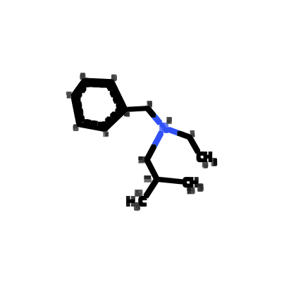 CCN(Cc1ccccc1)CC(C)C